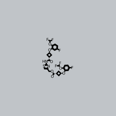 O=C(Nc1nc(COC(=O)[C@H]2C[C@H](Oc3cc(F)ccc3OC(F)F)C2)cs1)[C@H]1C[C@H](Oc2cc(F)ccc2OC(F)F)C1